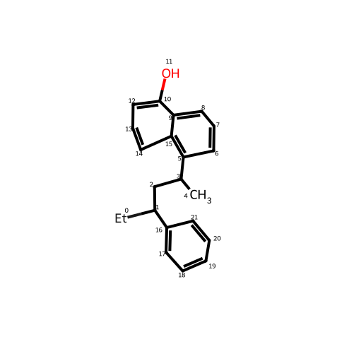 CCC(CC(C)c1cccc2c(O)cccc12)c1ccccc1